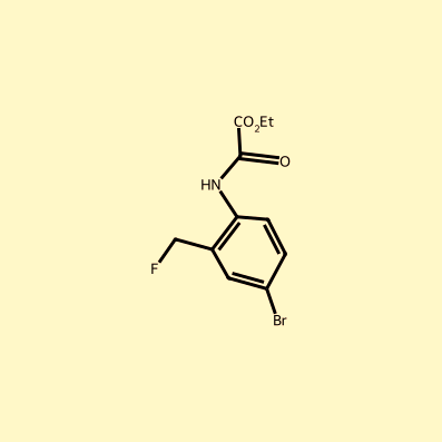 CCOC(=O)C(=O)Nc1ccc(Br)cc1CF